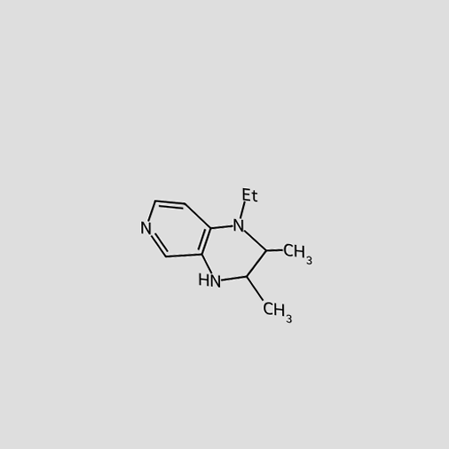 CCN1c2ccncc2NC(C)C1C